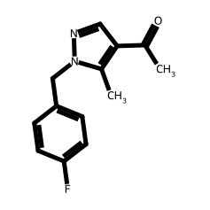 CC(=O)c1cnn(Cc2ccc(F)cc2)c1C